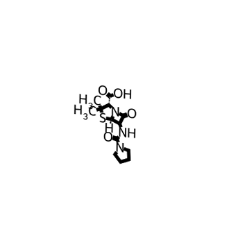 CC1(C)S[C@@H]2C(NC(=O)N3CCCC3)C(=O)N2[C@H]1C(=O)O